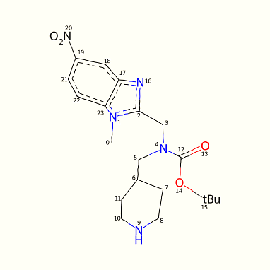 Cn1c(CN(CC2CCNCC2)C(=O)OC(C)(C)C)nc2cc([N+](=O)[O-])ccc21